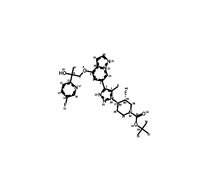 Cc1c(-c2cc(OCC(C)(O)c3ccc(F)cn3)c3ccnn3c2)nnn1[C@@H]1CCN(C(=O)OC(C)(C)C)C[C@H]1F